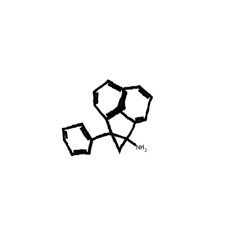 NC1(c2ccccc2)CC1(c1ccccc1)c1ccccc1